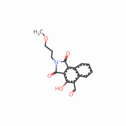 COCCC[N+]1C(=O)c2c(O)c(C=O)c3ccccc3c2C1=O